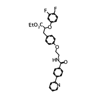 CCOC(=O)C(Cc1ccc(OCCNC(=O)c2ccc(-c3ccccn3)cc2)cc1)Oc1ccc(F)c(F)c1